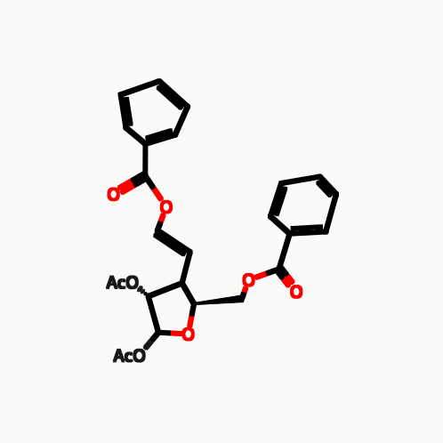 CC(=O)OC1O[C@H](COC(=O)c2ccccc2)C(/C=C/OC(=O)c2ccccc2)[C@H]1OC(C)=O